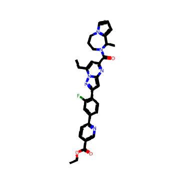 CCOC(=O)c1ccc(-c2ccc(-c3cc4nc(C(=O)N5CCCn6cccc6C5C)cc(CC)n4n3)c(F)c2)nc1